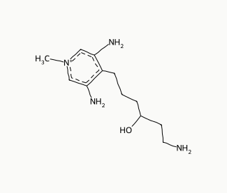 C[n+]1cc(N)c(CCCC(O)CCN)c(N)c1